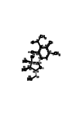 CC(=O)n1c(=O)c(C)cn([C@@H]2O[C@H](CO)[C@@H](O)[C@]2(O)Br)c1=O